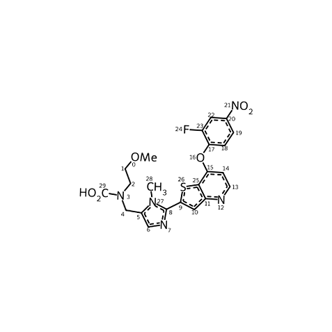 COCCN(Cc1cnc(-c2cc3nccc(Oc4ccc([N+](=O)[O-])cc4F)c3s2)n1C)C(=O)O